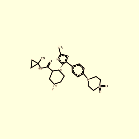 Cc1nc([C@@H]2CC[C@H](F)CC2C(=O)NC2(C#N)CC2)c(-c2ccc(N3CCS(=O)(=O)CC3)cc2)s1